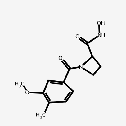 COc1cc(C(=O)N2CCC2C(=O)NO)ccc1C